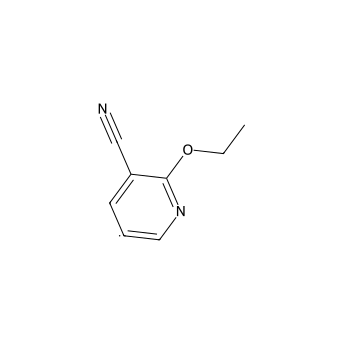 CCOc1nc[c]cc1C#N